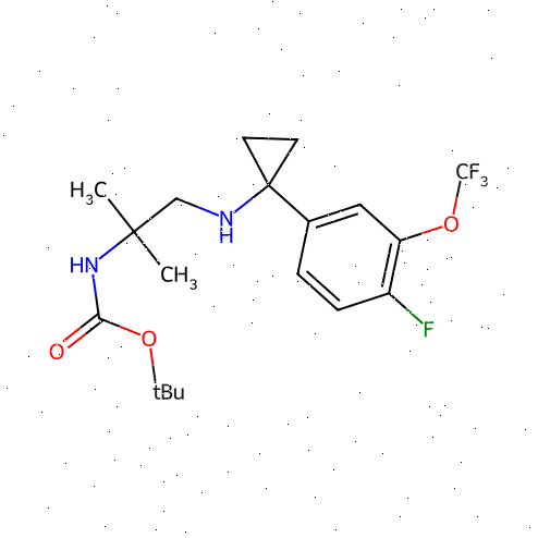 CC(C)(CNC1(c2ccc(F)c(OC(F)(F)F)c2)CC1)NC(=O)OC(C)(C)C